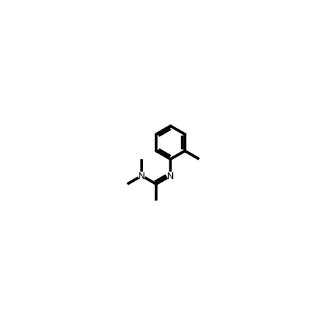 CC(=Nc1ccccc1C)N(C)C